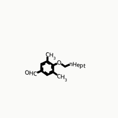 CCCCCCCCOc1c(C)cc(C=O)cc1C